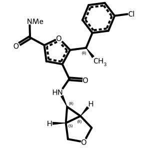 CNC(=O)c1cc(C(=O)N[C@H]2[C@@H]3COC[C@@H]32)c([C@H](C)c2cccc(Cl)c2)o1